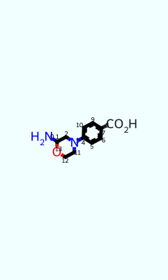 NC1CN(c2ccc(C(=O)O)cc2)CCO1